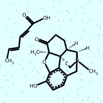 C/C=C/C=C/C(=O)O.CN1CC[C@]23c4c5ccc(O)c4O[C@@]2(C)C(=O)CC[C@H]3[C@H]1C5